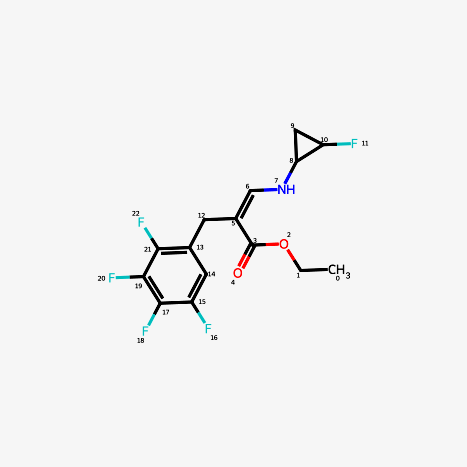 CCOC(=O)C(=CNC1CC1F)Cc1cc(F)c(F)c(F)c1F